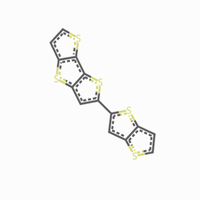 c1cc2sc(-c3cc4sc5ccsc5c4s3)cc2s1